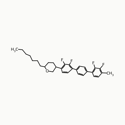 CCCCCCCC1CCC(c2ccc(-c3ccc(-c4ccc(C)c(F)c4F)cc3)c(F)c2F)CO1